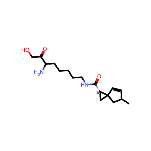 CC1C=CC2(C1)C[C@@H]2C(=O)NCCCCCC(N)C(=O)CO